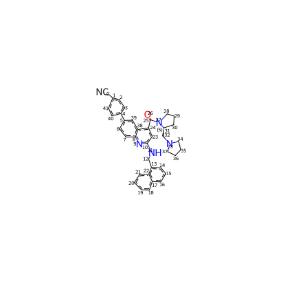 N#Cc1ccc(-c2ccc3nc(NCc4cccc5ccccc45)cc(C(=O)N4CCC[C@H]4CN4CCCC4)c3c2)cc1